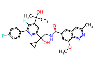 COc1cc(C(=O)NC[C@@](O)(c2cc(C(C)(C)O)c(F)c(-c3ccc(F)cc3)n2)C2CC2)cc2cc(C)nnc12